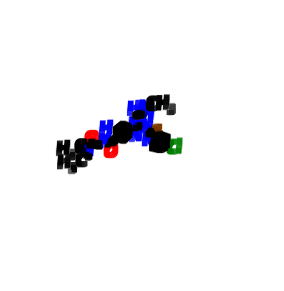 CCN(C)C(=O)CNC(=O)c1ccc2c(c1)nc(Nc1nc3ccc(Cl)cc3s1)n2CCNC